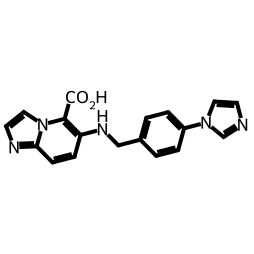 O=C(O)c1c(NCc2ccc(-n3ccnc3)cc2)ccc2nccn12